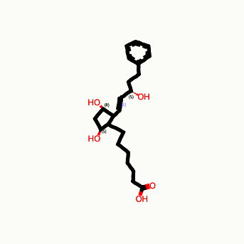 O=C(O)CCCCCCC1C(/C=C/[C@@H](O)CCc2ccccc2)[C@H](O)C[C@@H]1O